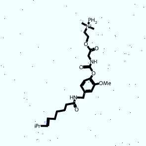 COc1cc(CNC(=O)CCCC/C=C/C(C)C)ccc1OC(=O)NCC(=O)OCC[N+](C)(C)P